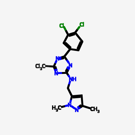 Cc1cc(CNc2nc(-c3ccc(Cl)c(Cl)c3)nc(C(Cl)(Cl)Cl)n2)n(C)n1